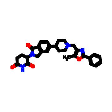 Cc1oc(-c2ccccc2)nc1CN1CCC(c2ccc3c(c2)CN(C2CCC(=O)NC2=O)C3=O)CC1